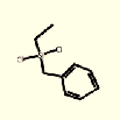 CC[Si](Cl)(Cl)Cc1ccccc1